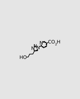 O=C(O)c1ccc(-n2cc(CCCO)nn2)nc1